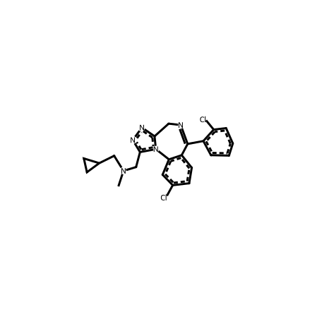 CN(Cc1nnc2n1-c1cc(Cl)ccc1C(c1ccccc1Cl)=NC2)CC1CC1